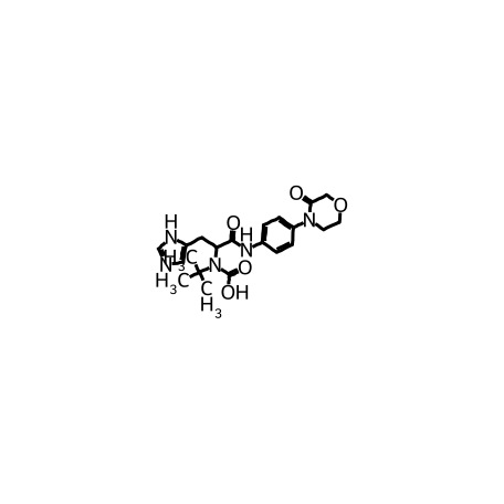 CC(C)(C)N(C(=O)O)C(Cc1cnc[nH]1)C(=O)Nc1ccc(N2CCOCC2=O)cc1